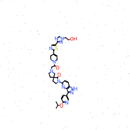 CC(C)Oc1ccc(-c2n[nH]c3ccc(N4CCC5(CCN(CC(=O)N6CC=C(c7ncc(-c8ncn(CCO)n8)s7)CC6)C5)C4=O)nc23)cn1